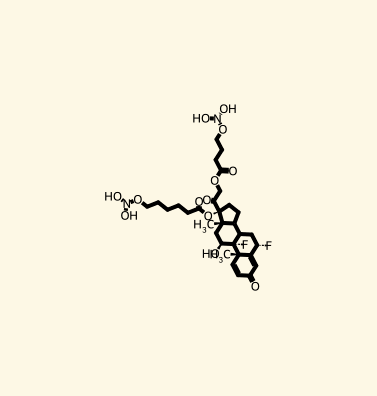 C[C@]12C=CC(=O)C=C1[C@@H](F)CC1C3CC[C@](OC(=O)CCCCCON(O)O)(C(=O)COC(=O)CCCON(O)O)[C@@]3(C)C[C@H](O)[C@@]12F